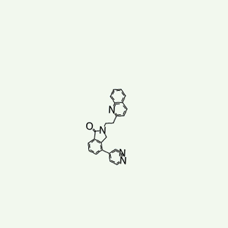 O=C1c2cccc(-c3ccnnc3)c2CN1CCc1ccc2ccccc2n1